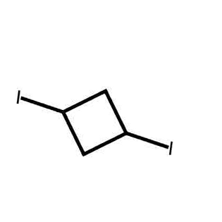 I[C]1CC(I)C1